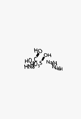 O=C(O)O.O=S(=O)(O)O.[NaH].[NaH].[NaH]